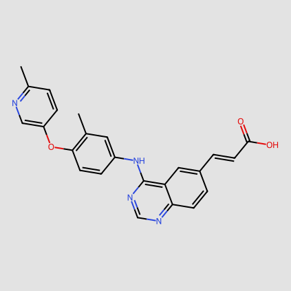 Cc1ccc(Oc2ccc(Nc3ncnc4ccc(C=CC(=O)O)cc34)cc2C)cn1